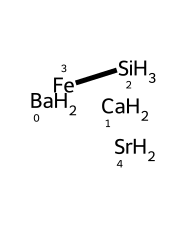 [BaH2].[CaH2].[SiH3][Fe].[SrH2]